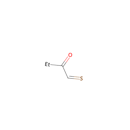 CCC(=O)C=S